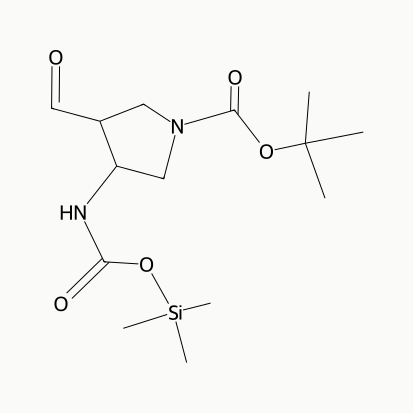 CC(C)(C)OC(=O)N1CC(C=O)C(NC(=O)O[Si](C)(C)C)C1